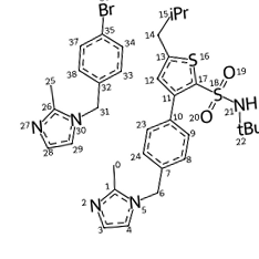 Cc1nccn1Cc1ccc(-c2cc(CC(C)C)sc2S(=O)(=O)NC(C)(C)C)cc1.Cc1nccn1Cc1ccc(Br)cc1